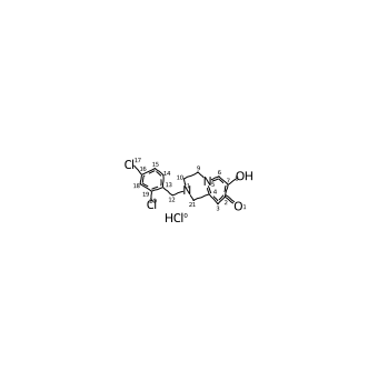 Cl.O=c1cc2n(cc1O)CCN(Cc1ccc(Cl)cc1Cl)C2